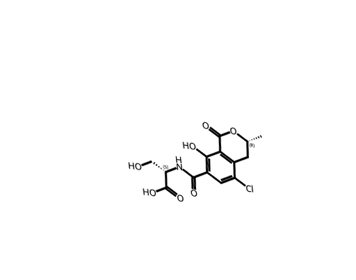 C[C@@H]1Cc2c(Cl)cc(C(=O)N[C@@H](CO)C(=O)O)c(O)c2C(=O)O1